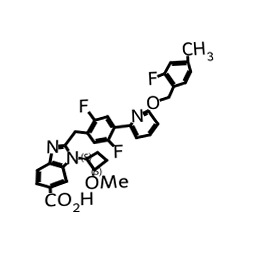 CO[C@H]1CC[C@@H]1n1c(Cc2cc(F)c(-c3cccc(OCc4ccc(C)cc4F)n3)cc2F)nc2ccc(C(=O)O)cc21